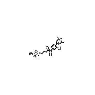 CC1CN(c2ccc(NC(=O)CCCCNS(=O)(=O)C(C)C)cc2Cl)CC(C)O1